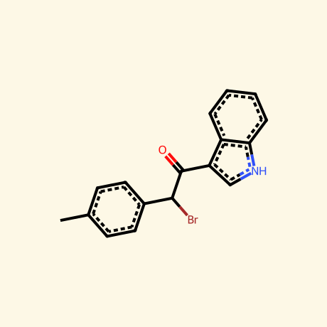 Cc1ccc(C(Br)C(=O)c2c[nH]c3ccccc23)cc1